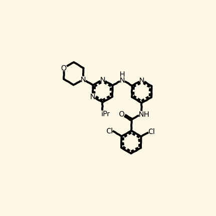 CC(C)c1cc(Nc2cc(NC(=O)c3c(Cl)cccc3Cl)ccn2)nc(N2CCOCC2)n1